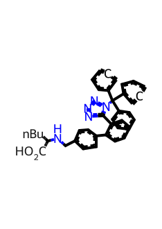 CCCCC(NCc1ccc(-c2ccccc2-c2nnnn2C(c2ccccc2)(c2ccccc2)c2ccccc2)cc1)C(=O)O